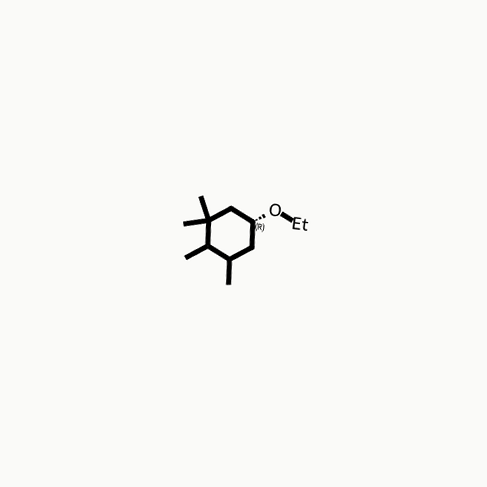 CCO[C@@H]1CC(C)C(C)C(C)(C)C1